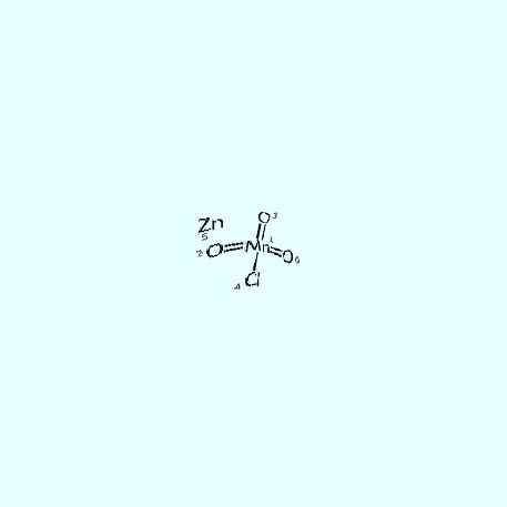 [O]=[Mn](=[O])(=[O])[Cl].[Zn]